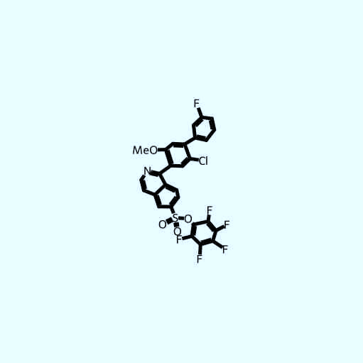 COc1cc(-c2cccc(F)c2)c(Cl)cc1-c1nccc2cc(S(=O)(=O)Oc3c(F)c(F)c(F)c(F)c3F)ccc12